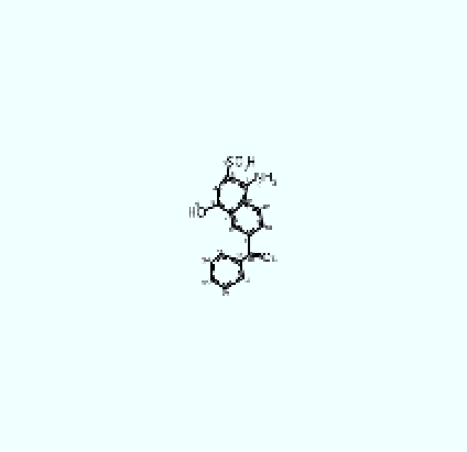 Nc1c(S(=O)(=O)O)cc(O)c2cc(C(=O)c3ccccc3)ccc12